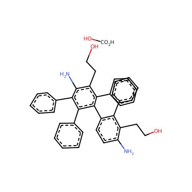 Nc1ccc(-c2c(-c3ccccc3)c(CCO)c(N)c(-c3ccccc3)c2-c2ccccc2)c(-c2ccccc2)c1CCO.O=C(O)O